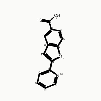 OC(=S)c1ccc2oc(-c3ccccn3)cc2c1